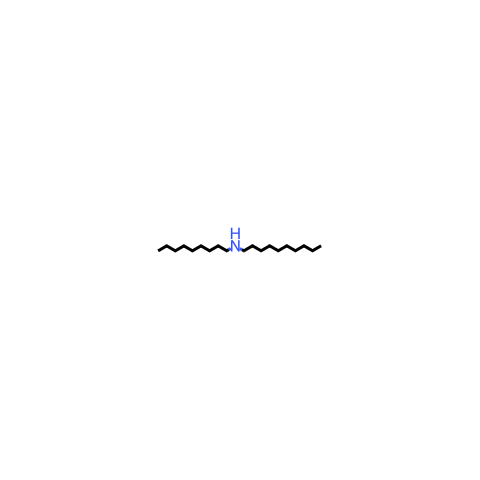 CCCCCCCCCCNCCCCCCCCC